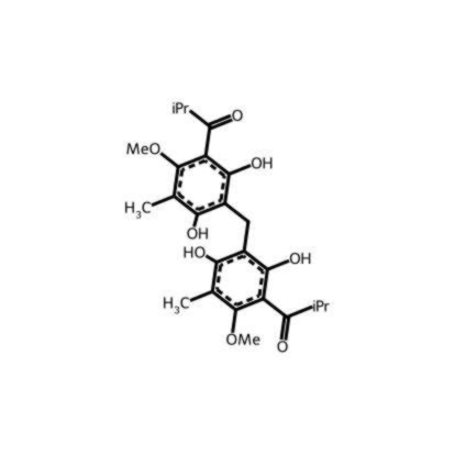 COc1c(C)c(O)c(Cc2c(O)c(C)c(OC)c(C(=O)C(C)C)c2O)c(O)c1C(=O)C(C)C